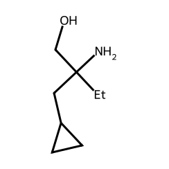 CCC(N)(CO)CC1CC1